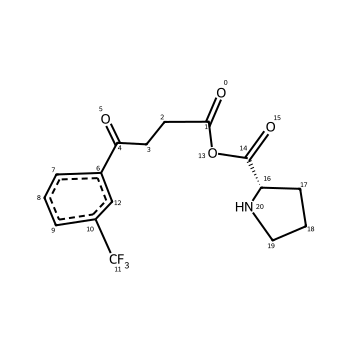 O=C(CCC(=O)c1cccc(C(F)(F)F)c1)OC(=O)[C@@H]1CCCN1